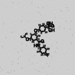 CC(C)Oc1cc(Oc2ccc(P(=O)(O)O)cc2)cc(C(=O)Nc2ccc(F)cc2)c1